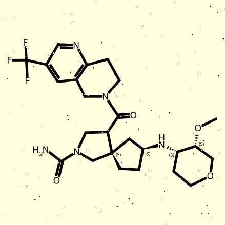 CO[C@@H]1COCC[C@@H]1N[C@H]1CC[C@@]2(C1)CN(C(N)=O)CC2C(=O)N1CCc2ncc(C(F)(F)F)cc2C1